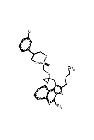 CCOCc1nc2c(N)nc3ccccc3c2n1CC1(OCP2(=O)OCC(c3cccc(Cl)c3)CO2)CC1